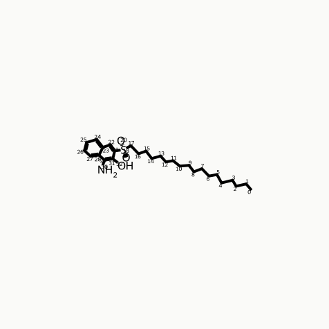 CCCCCCCCCCCCCCCCCCS(=O)(=O)c1cc2ccccc2c(N)c1O